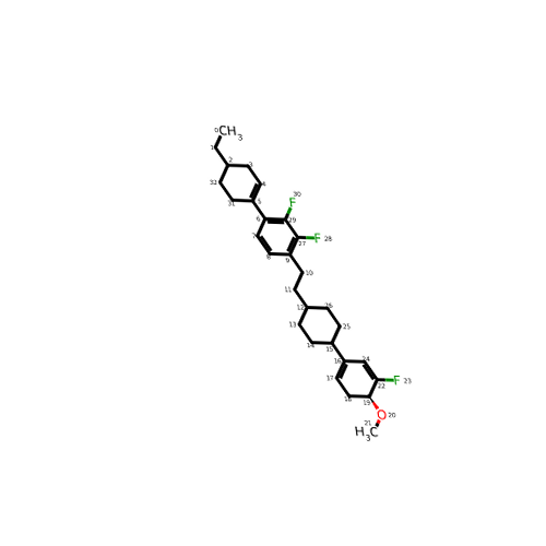 CCC1CC=C(c2ccc(CCC3CCC(C4=CC[C@H](OC)C(F)=C4)CC3)c(F)c2F)CC1